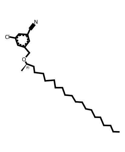 CCCCCCCCCCCCCCCCCCC[C@@H](C)OCc1cc(Cl)cc(C#N)c1